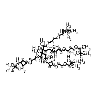 C[C@H](OCCCOCCNC(C)(C)C)C(C)(CCC(C)(C)NCCOCCCO[C@H](C)C(C)(C)C)[C@@](C)(COCCO[C@H]1C[C@H](NC(C)(C)C)C1)CC(C)(C)N[C@H]1C[C@@H](OCCOCC(C)(C)C)C1